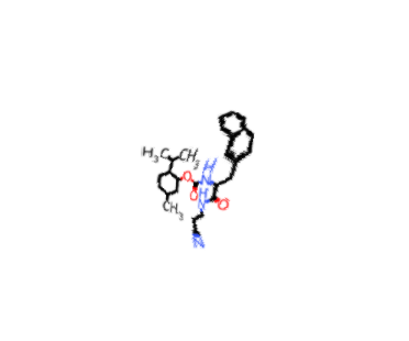 CC1CCC(C(C)C)C(OC(=O)NC(Cc2ccc3ccccc3c2)C(=O)NCCC#N)C1